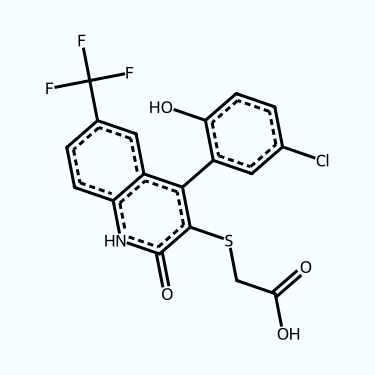 O=C(O)CSc1c(-c2cc(Cl)ccc2O)c2cc(C(F)(F)F)ccc2[nH]c1=O